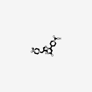 O=C(O)N1CCC(c2cc(=O)[nH]c3c(CN4CCS(=O)(=O)CC4)cnn23)CC1